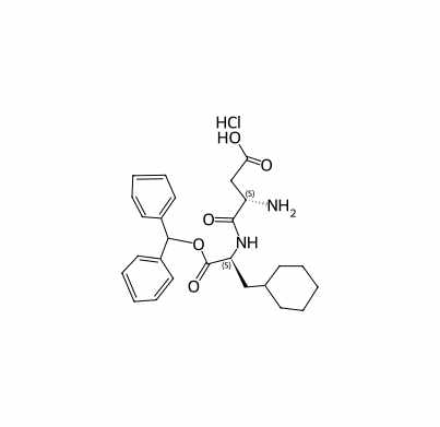 Cl.N[C@@H](CC(=O)O)C(=O)N[C@@H](CC1CCCCC1)C(=O)OC(c1ccccc1)c1ccccc1